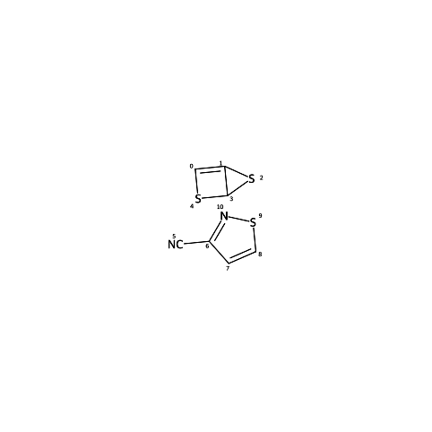 C1=C2SC2S1.N#Cc1ccsn1